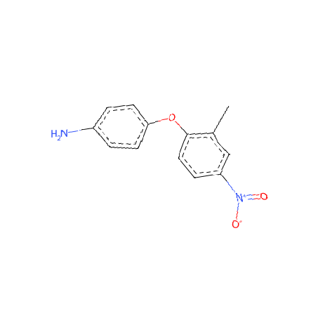 Cc1cc([N+](=O)[O-])ccc1Oc1ccc(N)cc1